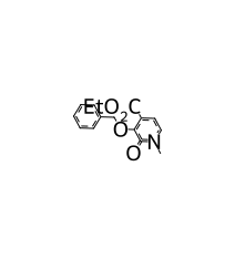 CCOC(=O)c1ccn(C)c(=O)c1OCc1ccccc1